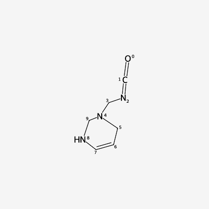 O=C=NCN1CC=CNC1